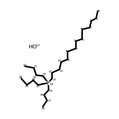 CCCCCCCCCCCCCC[P](CCCC)(CCCC)CCCC.Cl